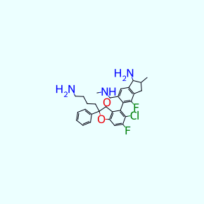 CNC(=O)c1cc2c(c(F)c1-c1c(Cl)c(F)cc3c1CC(CCCCN)(c1ccccc1)O3)CC(C)C2N